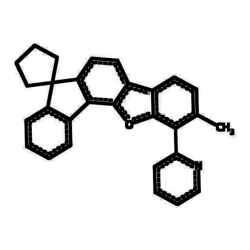 Cc1ccc2c(oc3c4c(ccc32)C2(CCCC2)c2ccccc2-4)c1-c1ccccn1